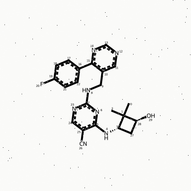 CC1(C)[C@@H](Nc2nc(NCc3cncnc3-c3ccc(F)cc3)ncc2C#N)C[C@@H]1O